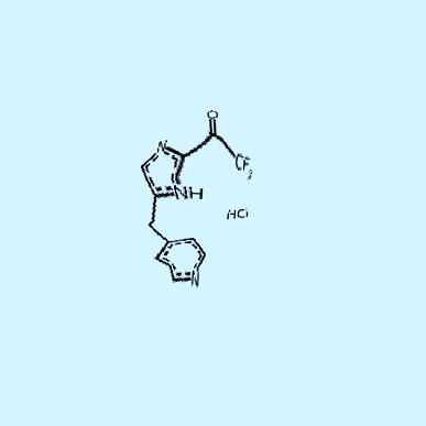 Cl.O=C(c1ncc(Cc2ccncc2)[nH]1)C(F)(F)F